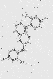 Cc1cc(F)ccc1Nc1ccc2c(-c3ccc(F)cc3C)nncc2c1